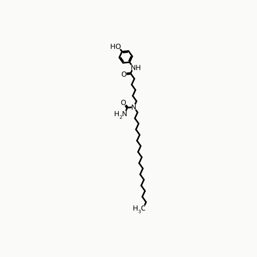 CCCCCCCCCCCCCCCCCCN(CCCCCC(=O)Nc1ccc(O)cc1)C(N)=O